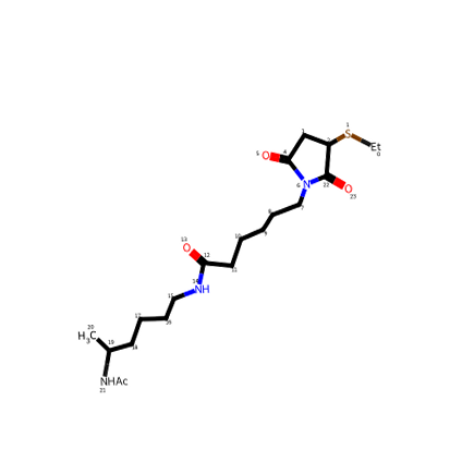 CCSC1CC(=O)N(CCCCCC(=O)NCCCCC(C)NC(C)=O)C1=O